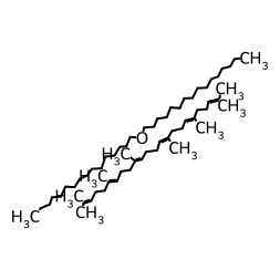 CC(C)=CCC/C(C)=C/CC/C(C)=C/CC/C=C(\C)CC/C=C(\C)CCC=C(C)C.CCCCCCCCCCCCCCCCOCCCCCCCCCCCCCCCC